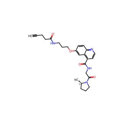 C#CCCC(=O)NCCCOc1ccc2nccc(C(=O)NCC(=O)N3CCC[C@H]3C#N)c2c1